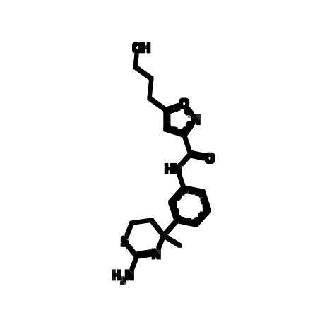 CC1(c2cccc(NC(=O)c3cc(CCCO)on3)c2)CCSC(N)=N1